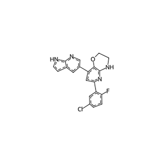 Fc1ccc(Cl)cc1-c1cc(-c2cnc3[nH]ccc3c2)c2c(n1)NCCO2